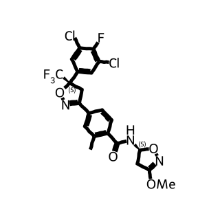 COC1=NO[C@H](NC(=O)c2ccc(C3=NO[C@@](c4cc(Cl)c(F)c(Cl)c4)(C(F)(F)F)C3)cc2C)C1